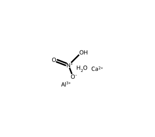 O.O=[N+]([O-])O.[Al+3].[Ca+2]